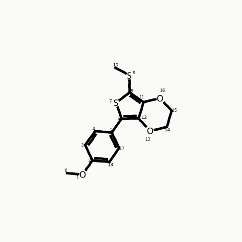 COc1ccc(-c2sc(SC)c3c2OCCO3)cc1